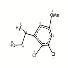 COc1cc(Cl)c(Cl)c([C](C)CO)c1